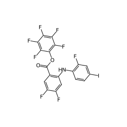 O=C(Oc1c(F)c(F)c(F)c(F)c1F)c1cc(F)c(F)cc1Nc1ccc(I)cc1F